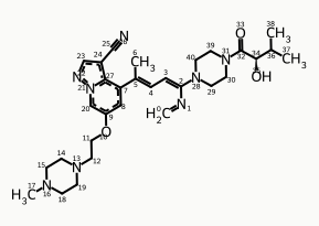 C=N/C(=C\C=C(/C)c1cc(OCCN2CCN(C)CC2)cn2ncc(C#N)c12)N1CCN(C(=O)[C@H](O)C(C)C)CC1